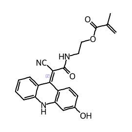 C=C(C)C(=O)OCCNC(=O)/C(C#N)=C1/c2ccccc2Nc2cc(O)ccc21